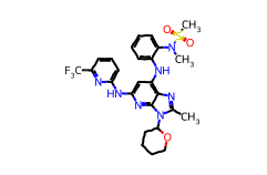 Cc1nc2c(Nc3ccccc3N(C)S(C)(=O)=O)cc(Nc3cccc(C(F)(F)F)n3)nc2n1C1CCCCO1